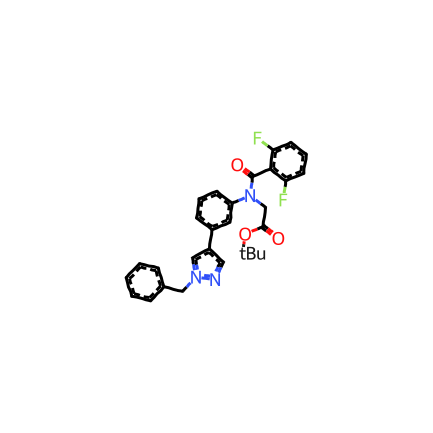 CC(C)(C)OC(=O)CN(C(=O)c1c(F)cccc1F)c1cccc(-c2cnn(Cc3ccccc3)c2)c1